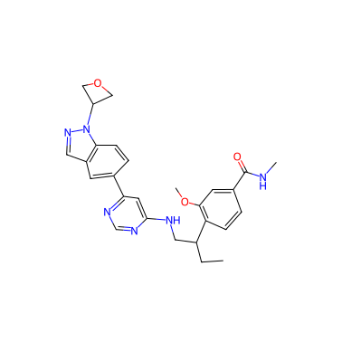 CCC(CNc1cc(-c2ccc3c(cnn3C3COC3)c2)ncn1)c1ccc(C(=O)NC)cc1OC